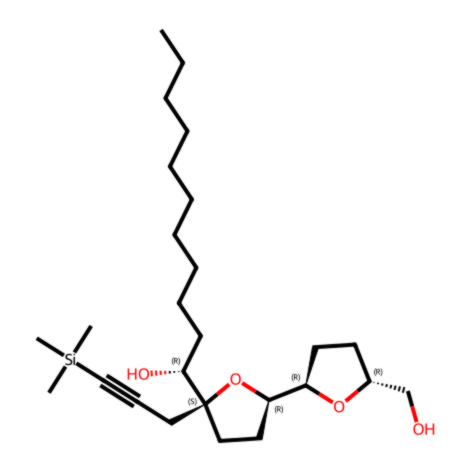 CCCCCCCCCC[C@@H](O)[C@@]1(CC#C[Si](C)(C)C)CC[C@H]([C@H]2CC[C@H](CO)O2)O1